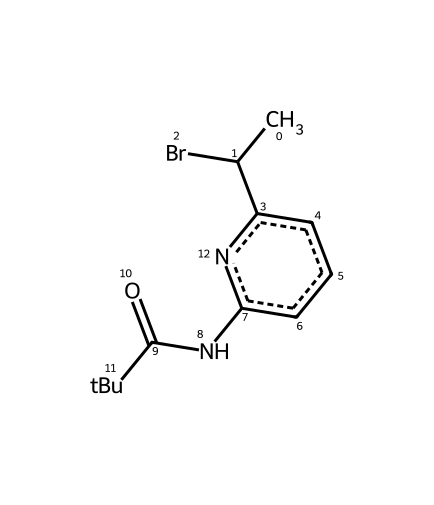 CC(Br)c1cccc(NC(=O)C(C)(C)C)n1